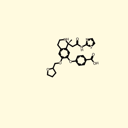 C[C@]1(CC(=O)Nc2nccs2)NCCc2cc(OCC3CCCO3)c(Oc3ccc(C(=O)O)cc3)cc21